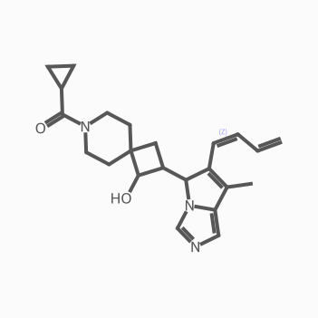 C=C/C=C\C1=C(C)c2cncn2C1C1CC2(CCN(C(=O)C3CC3)CC2)C1O